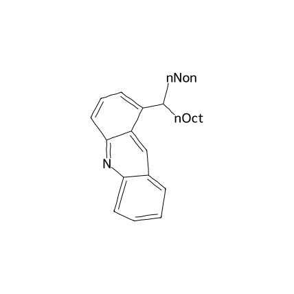 CCCCCCCCCC(CCCCCCCC)c1cccc2nc3ccccc3cc12